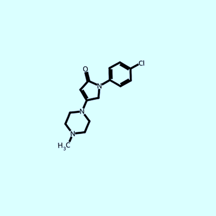 CN1CCN(C2=CC(=O)N(c3ccc(Cl)cc3)C2)CC1